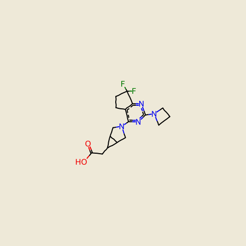 O=C(O)CC1C2CN(c3nc(N4CCC4)nc4c3CCC4(F)F)CC12